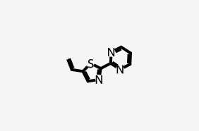 C=Cc1cnc(-c2ncccn2)s1